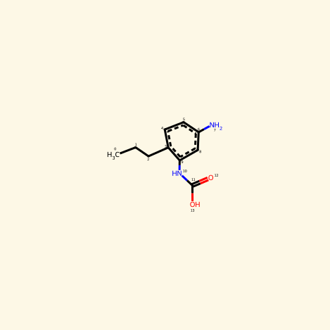 CCCc1ccc(N)cc1NC(=O)O